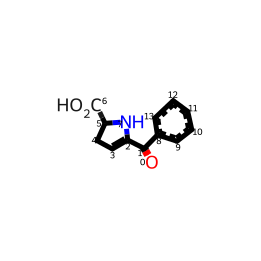 O=C(C1=CCC(C(=O)O)N1)c1ccccc1